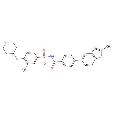 Cc1nc2cc(-c3ccc(C(=O)NS(=O)(=O)c4ccc(OC5CCCCC5)c(C(F)(F)F)c4)cc3)ccc2s1